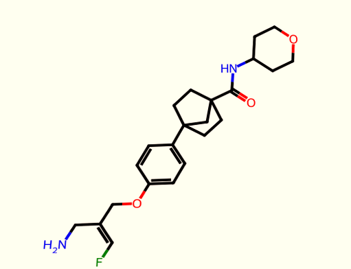 NCC(=CF)COc1ccc(C23CCC(C(=O)NC4CCOCC4)(CC2)C3)cc1